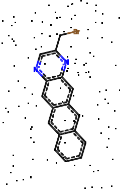 BrCc1cnc2cc3cc4ccccc4cc3cc2n1